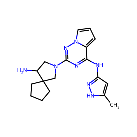 Cc1cc(Nc2nc(N3CC(N)C4(CCCC4)C3)nn3cccc23)n[nH]1